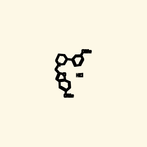 COc1cccc(C2CCCN(Cc3cc4cc(OC)ccc4o3)C2)c1.Cl